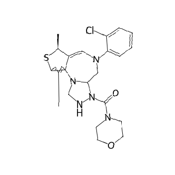 CC1=CC23C(=C1)S[C@@H](C)C2=CN(c1ccccc1Cl)CC1N(C(=O)N2CCOCC2)NCN13